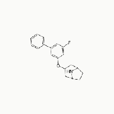 Fc1cc(OC2CC3CCC(C2)N3)cc(-c2ccccc2)c1